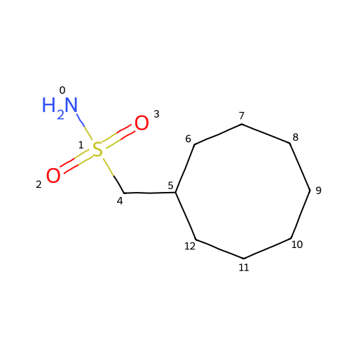 NS(=O)(=O)CC1CCCCCCC1